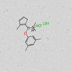 CC1=[C]([Ti]([O]c2cc(C)cc(C)c2)[SiH](C)C)CC=C1.Cl.Cl